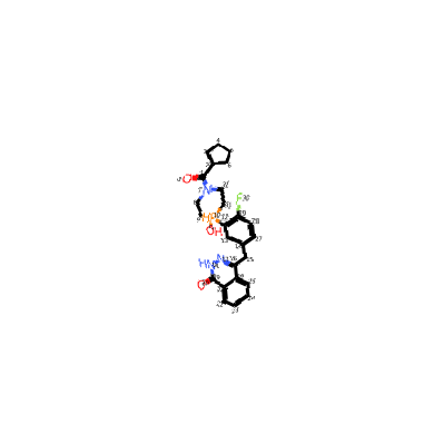 O=C(C1CCCC1)N1CC[PH](O)(c2cc(Cc3n[nH]c(=O)c4ccccc34)ccc2F)CC1